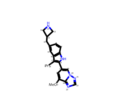 COc1cc(-c2[nH]c3ccc(CC4CNC4)cc3c2C(C)C)cn2ncnc12